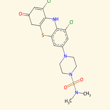 CN(C)S(=O)(=O)N1CCN(c2cc(Cl)c3c(c2)SC2=C(N3)C(Cl)=CC(=O)C2)CC1